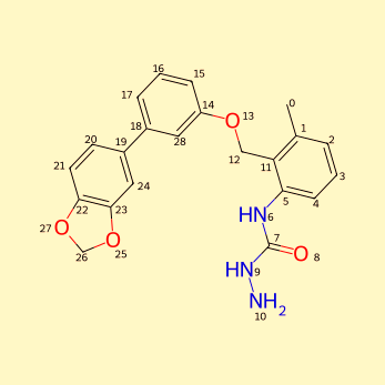 Cc1cccc(NC(=O)NN)c1COc1cccc(-c2ccc3c(c2)OCO3)c1